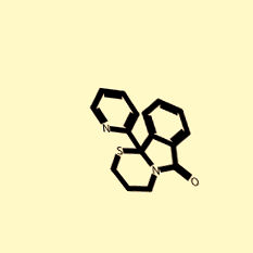 O=C1c2ccccc2C2(c3ccccn3)SCCCN12